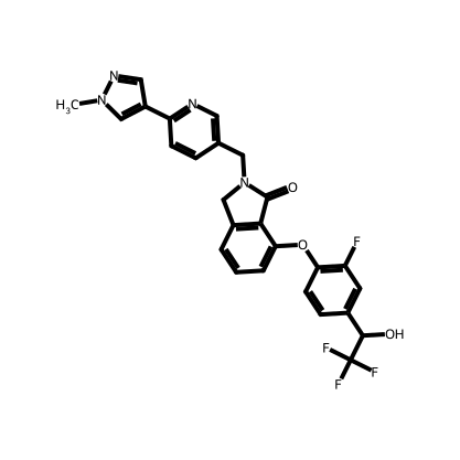 Cn1cc(-c2ccc(CN3Cc4cccc(Oc5ccc(C(O)C(F)(F)F)cc5F)c4C3=O)cn2)cn1